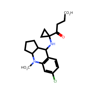 O=C(O)CCC(=O)C1(NC2c3ccc(Cl)cc3N(C(=O)O)C3CCCC23)CC1